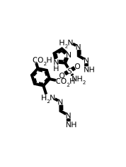 Cc1ccc(C(=O)O)cc1C(=O)O.N=NC=NN.N=NC=NN.NS(=O)(=O)c1ncc[nH]1